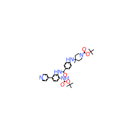 CC1(Nc2ccc(C(=O)Nc3cc(-c4ccncc4)ccc3NC(=O)OC(C)(C)C)cc2)CCN(C(=O)OC(C)(C)C)CC1